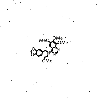 COCCN(Cc1ccc2c(c1)OCO2)c1ncnc2c(OC)c(OC)c(OC)cc12